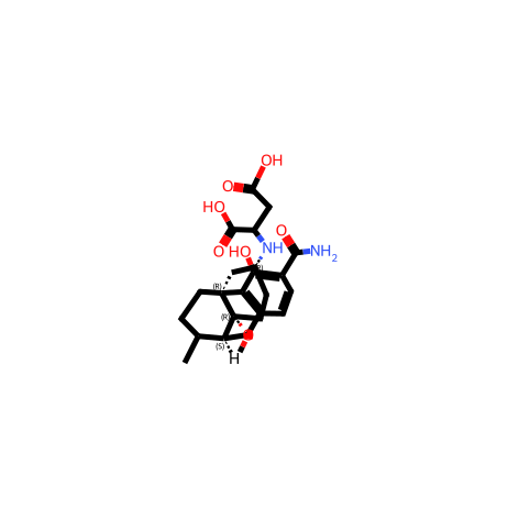 CO[C@@]12CC[C@@H](NC(CC(=O)O)C(=O)O)C[C@@]13CCC(C)[C@@H]2Cc1ccc(C(N)=O)c(O)c13